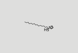 CCCCCCCCCCCCCCCC(S)n1cccc1